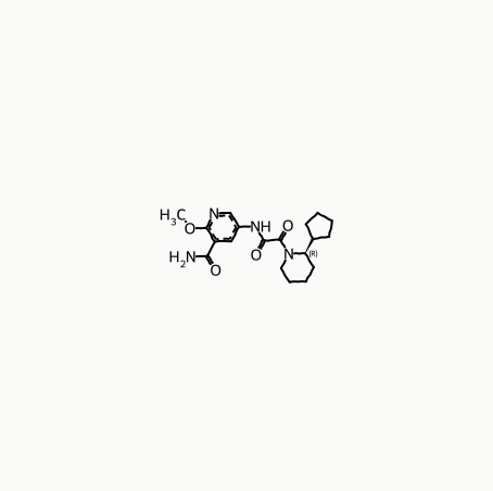 COc1ncc(NC(=O)C(=O)N2CCCC[C@@H]2C2CCCC2)cc1C(N)=O